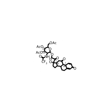 CC(=O)OCC1O[C@@H](OCC(=O)[C@@]2(O)CCC3C4CCC5=CC(=O)C=C[C@]5(C)C4C(=O)C[C@@]32C)C(NC(=O)C(F)(F)F)[C@@H](OC(C)=O)[C@@H]1OC(C)=O